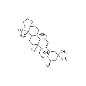 CC(=O)[C@@H]1CC(C)(C)CC2C3=CCC4[C@@]5(C)CCC6(OCCO6)C(C)(C)C5CC[C@@]4(C)[C@]3(C)CCC21